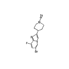 N#CB1CCC(c2cn3cc(Br)cc(F)c3n2)CC1